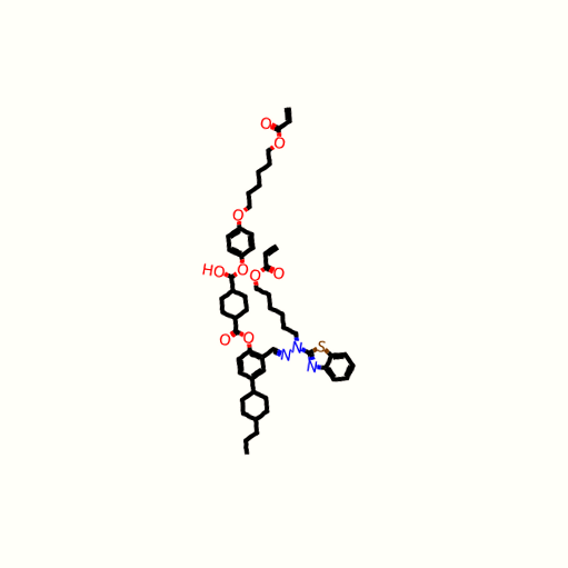 C=CC(=O)OCCCCCCOc1ccc(OC(O)C2CCC(C(=O)Oc3ccc(C4CCC(CCC)CC4)cc3/C=N/N(CCCCCCOC(=O)C=C)c3nc4ccccc4s3)CC2)cc1